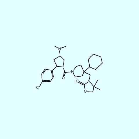 CN(C)[C@@H]1CC(c2ccc(Cl)cc2)[C@H](C(=O)N2CCC(CN3C(=O)OCC3(C)C)(C3CCCCC3)CC2)C1